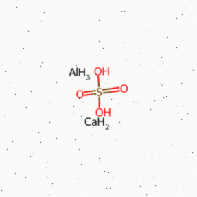 O=S(=O)(O)O.[AlH3].[CaH2]